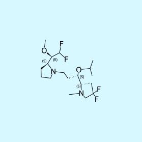 CO[C@@H](C(F)F)[C@@H]1CCCN1CC[C@H](OC(C)C)[C@@H]1CC(F)(F)CN1C